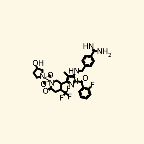 Cc1c(C2CN(S(=O)(=O)N3CCC(O)C3)C(=O)CC2C(F)(F)F)nn(C(=O)c2ccccc2F)c1NCc1ccc(C(=N)N)cc1